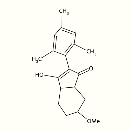 COC1CCC2C(O)=C(c3c(C)cc(C)cc3C)C(=O)C2C1